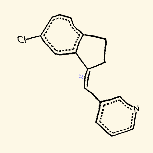 Clc1ccc2c(c1)/C(=C/c1cccnc1)CC2